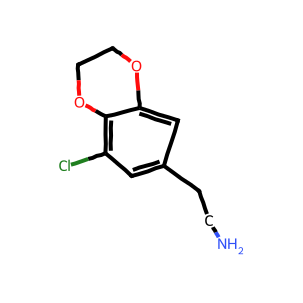 NCCc1cc(Cl)c2c(c1)OCCO2